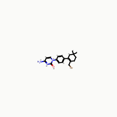 CC1(C)CCC(CBr)=C(c2ccc(-n3ccc(N)nc3=O)cc2)C1